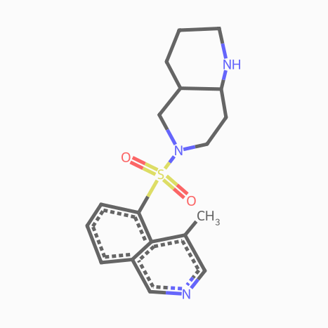 Cc1cncc2cccc(S(=O)(=O)N3CCC4NCCCC4C3)c12